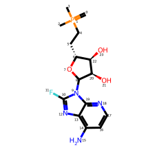 C=P(C)(C)CC[C@H]1OC(n2c(F)nc3c(N)ccnc32)[C@H](O)[C@@H]1O